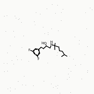 CC(C)CCCC(C)(C)NC[C@H](O)[CH]Cc1cc(F)cc(F)c1